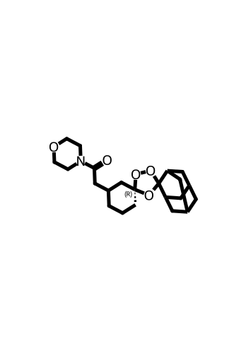 O=C(CC1CCC[C@]2(C1)OOC1(O2)C2CC3CC(C2)CC1C3)N1CCOCC1